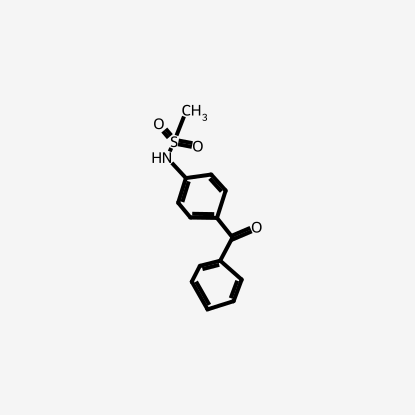 CS(=O)(=O)Nc1ccc(C(=O)c2ccccc2)cc1